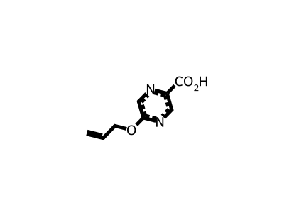 C=CCOc1cnc(C(=O)O)cn1